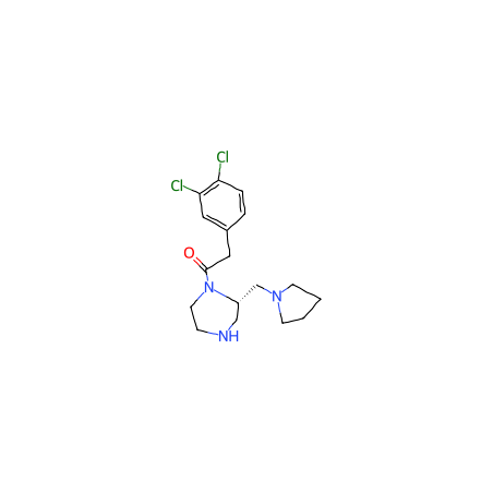 O=C(Cc1ccc(Cl)c(Cl)c1)N1CCNC[C@H]1CN1CCCC1